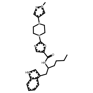 CCCCC(Cc1c[nH]c2ccccc12)NC(=O)c1cnc(N2CCN(c3cnn(C)c3)CC2)s1